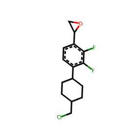 Fc1c(C2CCC(CCl)CC2)ccc(C2CO2)c1F